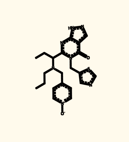 CCCN(Cc1cc[n+]([O-])cc1)C(CC)c1nc2[nH]ncc2c(=O)n1Cc1cncs1